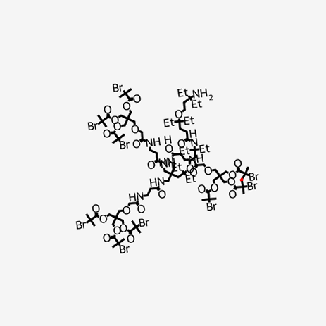 CCC(N)(CC)CCOC(CC)(CC)CCC(=O)NC(CC)(CC)CCOC(CC)(CC)CC(CNC(=O)CCNC(=O)COCC(COC(=O)C(C)(C)Br)(COC(=O)C(C)(C)Br)COC(=O)C(C)(C)Br)(CNC(=O)CCNC(=O)COCC(COC(=O)C(C)(C)Br)(COC(=O)C(C)(C)Br)COC(=O)C(C)(C)Br)CNC(O)CCNC(=O)COCC(COC(=O)C(C)(C)Br)(COC(=O)C(C)(C)Br)COC(=O)C(C)(C)Br